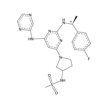 C[C@H](Nc1nc(Nc2cnccn2)cc(N2CCC(NS(C)(=O)=O)C2)n1)c1ccc(F)cc1